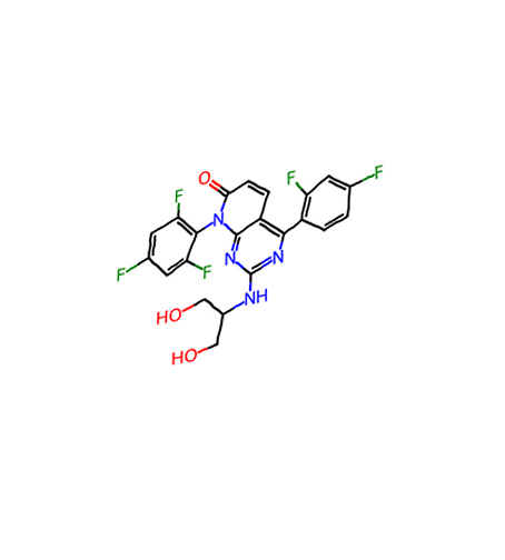 O=c1ccc2c(-c3ccc(F)cc3F)nc(NC(CO)CO)nc2n1-c1c(F)cc(F)cc1F